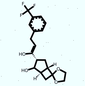 OC(=CCc1cccc(C(F)(F)F)c1)[C@@H]1C[C@H]2[C@@H](CC23OCCO3)C1O